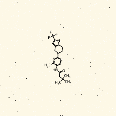 Cc1nc(N2CCn3nc(C(F)(F)F)cc3C2)ncc1NC(=O)CC(C)(C)C